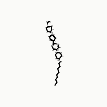 CCCCCCCCCC[C@H]1CC[C@H](c2cnc(-c3ccc([C@H]4CC[C@H](CC)CC4)cc3)nc2)CC1